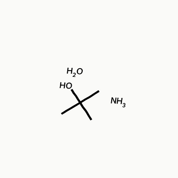 CC(C)(C)O.N.O